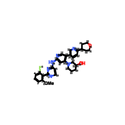 COc1cccc(F)c1-c1nccc(Nc2cc(N3CCC[C@H](O)C3)c(-c3ccc(C4CCOCC4)nc3)cn2)n1